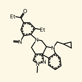 C=Nc1cc(C(=O)CC)cc(CC)c1N(Cc1cnn(C)c1)CC1Cc2ccccc2N1CC1CC1